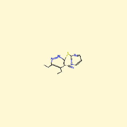 CCc1nnc(Sc2ncccn2)c(C#N)c1CC